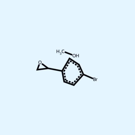 Brc1ccc(C2CO2)cc1.CO